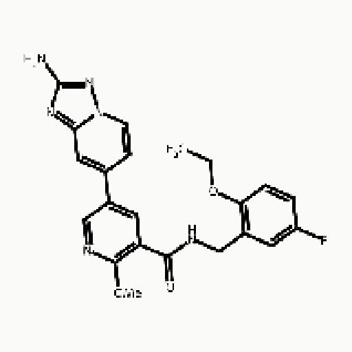 COc1ncc(-c2ccn3nc(N)nc3c2)cc1C(=O)NCc1cc(F)ccc1OCC(F)(F)F